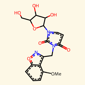 COc1cccc2onc(Cn3c(=O)ccn(C4OC(CO)C(O)C4O)c3=O)c12